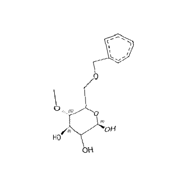 CO[C@@H]1C(COCc2ccccc2)O[C@@H](O)C(O)[C@H]1O